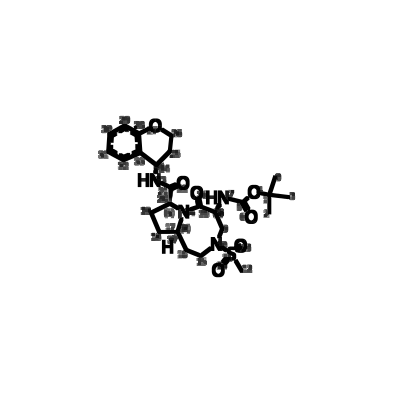 CC(C)(C)OC(=O)N[C@H]1CN(S(C)(=O)=O)CC[C@H]2CC[C@@H](C(=O)N[C@@H]3CCOc4ccccc43)N2C1=O